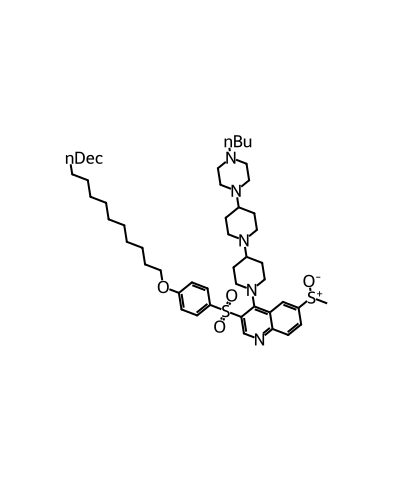 CCCCCCCCCCCCCCCCCCCCOc1ccc(S(=O)(=O)c2cnc3ccc([S+](C)[O-])cc3c2N2CCC(N3CCC(N4CCN(CCCC)CC4)CC3)CC2)cc1